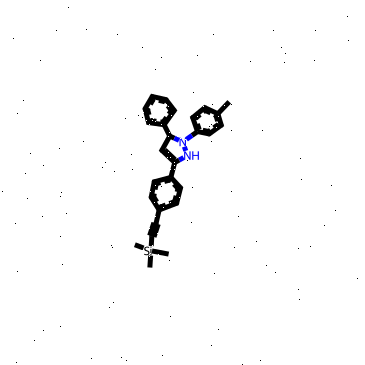 Cc1ccc(N2NC(c3ccc(C#C[Si](C)(C)C)cc3)=CC2c2ccccc2)cc1